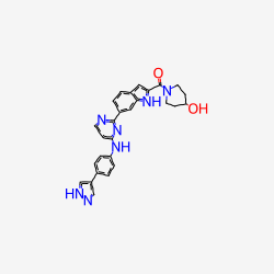 O=C(c1cc2ccc(-c3nccc(Nc4ccc(-c5cn[nH]c5)cc4)n3)cc2[nH]1)N1CCC(O)CC1